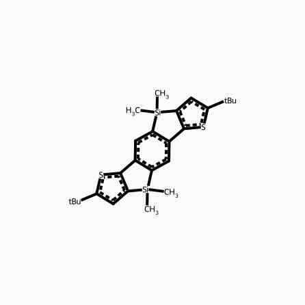 CC(C)(C)c1cc2c(s1)-c1cc3c(cc1[Si]2(C)C)-c1sc(C(C)(C)C)cc1[Si]3(C)C